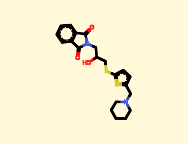 O=C1c2ccccc2C(=O)N1CC(O)CSc1ccc(CN2CCCCC2)s1